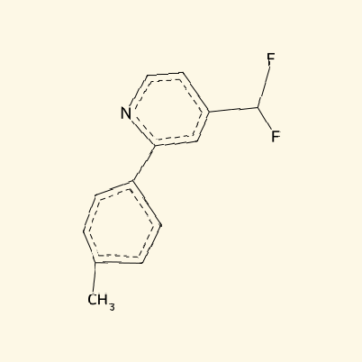 Cc1ccc(-c2cc(C(F)F)ccn2)cc1